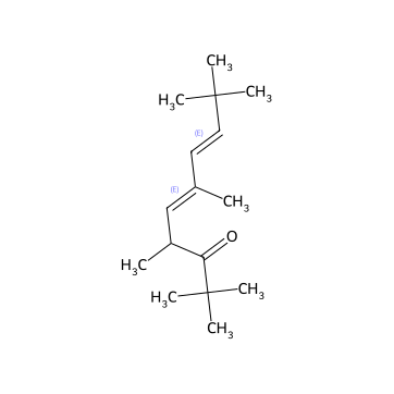 CC(/C=C/C(C)(C)C)=C\C(C)C(=O)C(C)(C)C